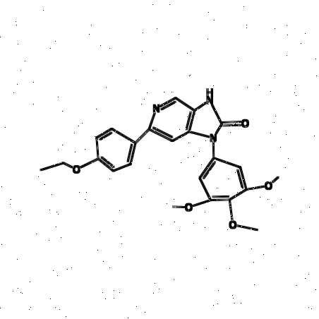 CCOc1ccc(-c2cc3c(cn2)[nH]c(=O)n3-c2cc(OC)c(OC)c(OC)c2)cc1